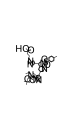 CCN(Cc1nn(C)cc1-c1cnc2c(c1)c(-c1cnn(CCCC(=O)O)c1)cn2S(=O)(=O)c1ccc(C)cc1)C(=O)OC(C)(C)C